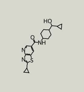 O=C(NC1CCC(C(O)C2CC2)CC1)c1cnc2nc(C3CC3)sc2c1